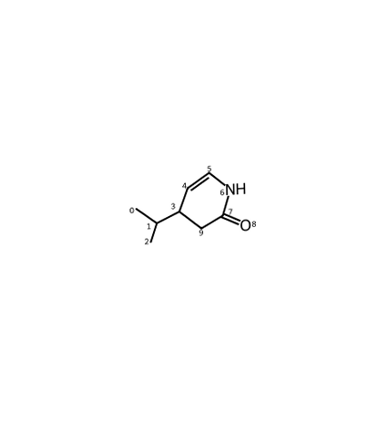 CC(C)C1C=CNC(=O)C1